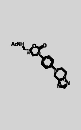 CC(=O)NC[C@H]1CN(c2ccc(N3CCn4ncnc4C3)cc2)C(=O)O1